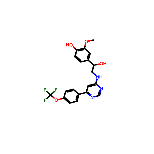 COc1cc(C(O)CNc2cc(-c3ccc(OC(F)(F)F)cc3)ncn2)ccc1O